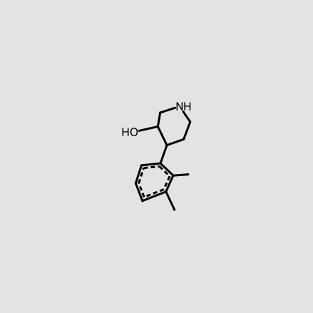 Cc1cccc(C2CCNCC2O)c1C